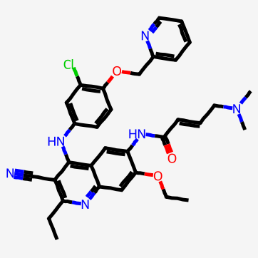 CCOc1cc2nc(CC)c(C#N)c(Nc3ccc(OCc4ccccn4)c(Cl)c3)c2cc1NC(=O)/C=C/CN(C)C